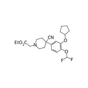 CCOC(=O)CN1CCC(C#N)(c2ccc(OC(F)F)c(OC3CCCC3)c2)CC1